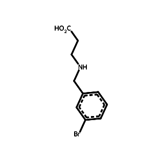 O=C(O)CCNCc1cccc(Br)c1